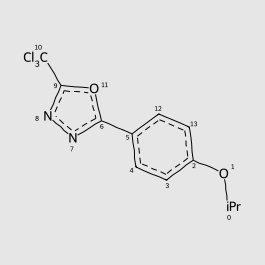 CC(C)Oc1ccc(-c2nnc(C(Cl)(Cl)Cl)o2)cc1